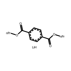 CCCOC(=O)c1ccc(C(=O)OCCC)cc1.[LiH]